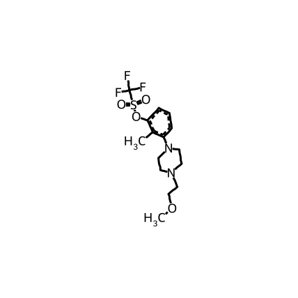 COCCN1CCN(c2cccc(OS(=O)(=O)C(F)(F)F)c2C)CC1